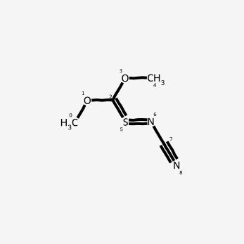 COC(OC)=S=NC#N